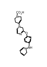 O=C(O)N1CC=C(N2C=CN=C(Oc3ccc(NN4C=CC=CC4)cc3)C2)CC1